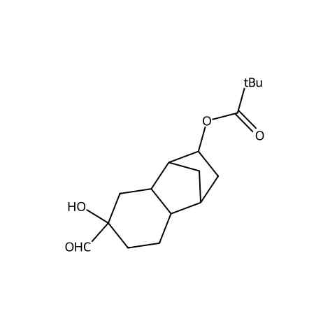 CC(C)(C)C(=O)OC1CC2CC1C1CC(O)(C=O)CCC21